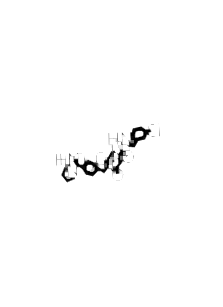 N=C(c1ccc(CN2C(=O)CN(S(=O)(=O)c3cc4cc(Cl)ccc4[nH]3)C[C@@H]2C(=O)O)cc1)N1CCCC1